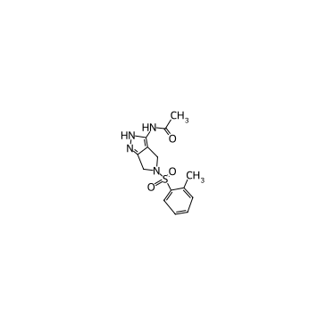 CC(=O)Nc1[nH]nc2c1CN(S(=O)(=O)c1ccccc1C)C2